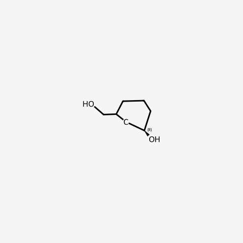 OCC1CCC[C@@H](O)C1